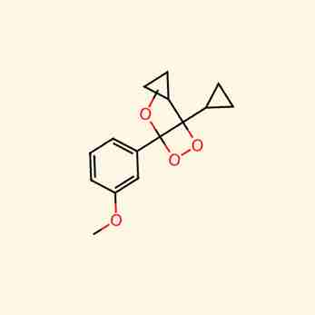 COc1cccc(C2(OC)OOC2(C2CC2)C2CC2)c1